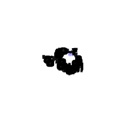 C=CCOC1CCC(C=C(C)C2OC(=O)C3CCCCN3C(=O)C(=O)C3(O)OC(C(OC)CC(C)C(F)/C(C)=C/C(CC)C(=O)CC(O[Si](C)(C)C(C)(C)C)C2C)C(OC)CC3C)CC1OC